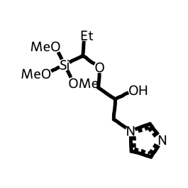 CCC(OCC(O)Cn1ccnc1)[Si](OC)(OC)OC